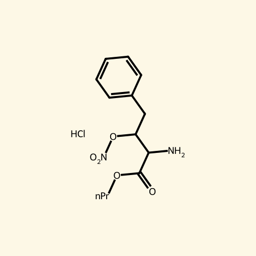 CCCOC(=O)C(N)C(Cc1ccccc1)O[N+](=O)[O-].Cl